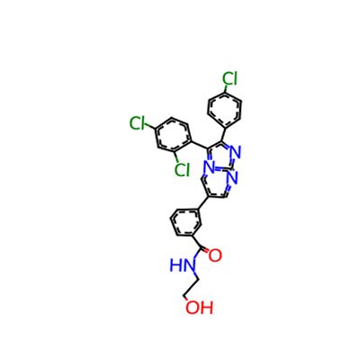 O=C(NCCO)c1cccc(-c2cnc3nc(-c4ccc(Cl)cc4)c(-c4ccc(Cl)cc4Cl)n3c2)c1